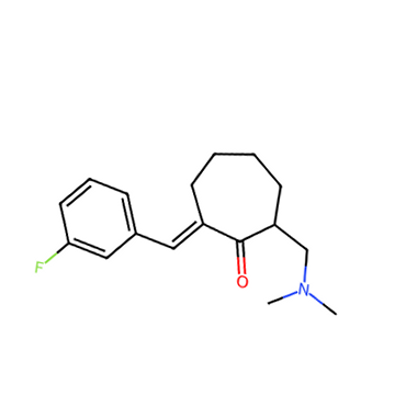 CN(C)CC1CCCCC(=Cc2cccc(F)c2)C1=O